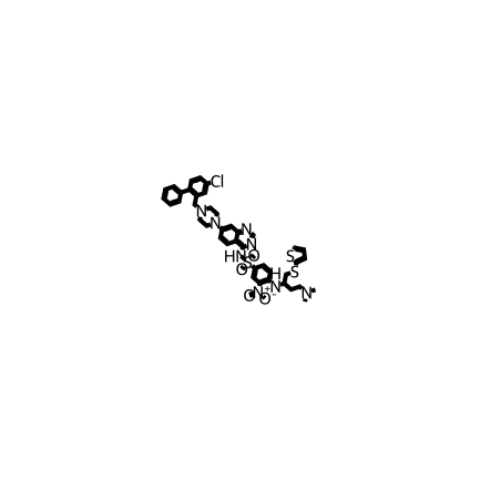 CN(C)CCC(CSc1cccs1)Nc1ccc(S(=O)(=O)Nc2ncnc3cc(N4CCN(Cc5cc(Cl)ccc5-c5ccccc5)CC4)ccc23)cc1[N+](=O)[O-]